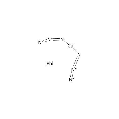 [N-]=[N+]=[N][Cu][N]=[N+]=[N-].[Pb]